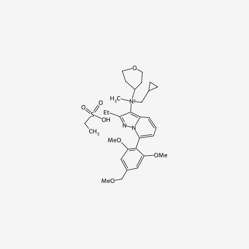 CCS(=O)(=O)O.CCc1nn2c(-c3c(OC)cc(COC)cc3OC)cccc2c1[N+](C)(CC1CC1)C1CCOCC1